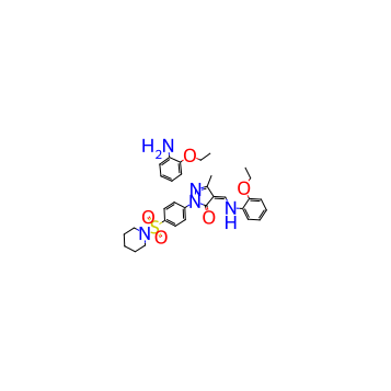 CCOc1ccccc1N.CCOc1ccccc1NC=C1C(=O)N(c2ccc(S(=O)(=O)N3CCCCC3)cc2)N=C1C